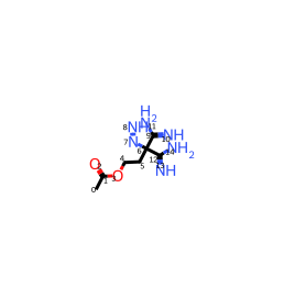 CC(=O)OCCC(N=N)(C(=N)N)C(=N)N